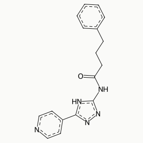 O=C(CCCc1ccccc1)Nc1nnc(-c2ccncc2)[nH]1